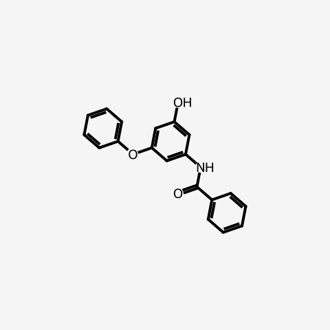 O=C(Nc1cc(O)cc(Oc2ccccc2)c1)c1ccccc1